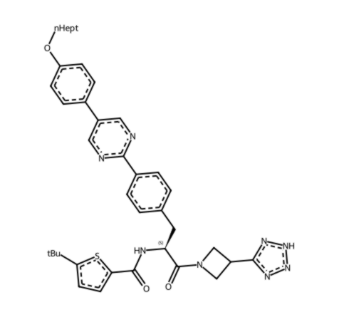 CCCCCCCOc1ccc(-c2cnc(-c3ccc(C[C@H](NC(=O)c4ccc(C(C)(C)C)s4)C(=O)N4CC(c5nn[nH]n5)C4)cc3)nc2)cc1